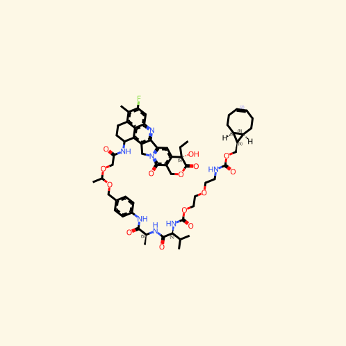 CC[C@@]1(O)C(=O)OCc2c1cc1n(c2=O)Cc2c-1nc1cc(F)c(C)c3c1c2C(NC(=O)COC(C)OCc1ccc(NC(=O)[C@H](C)NC(=O)[C@@H](NC(=O)OCCOCCNC(=O)OC[C@@H]2[C@@H]4CC/C=C\CC[C@@H]42)C(C)C)cc1)CC3